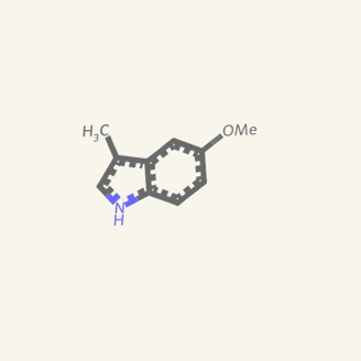 COc1ccc2[nH]cc(C)c2c1